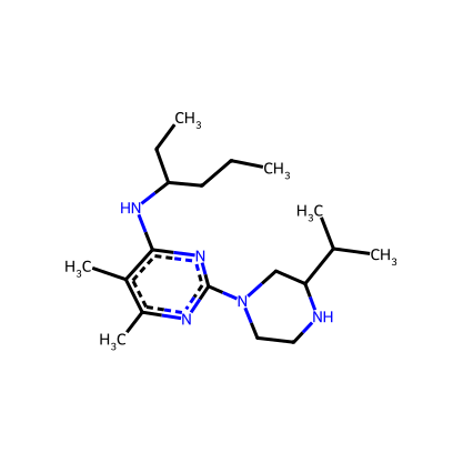 CCCC(CC)Nc1nc(N2CCNC(C(C)C)C2)nc(C)c1C